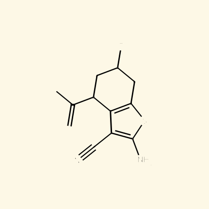 C=C(C)C1CC(F)Cc2sc(N)c(C#N)c21